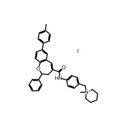 Cc1ccc(-c2ccc3c(c2)C=C(C(=O)Nc2ccc(C[N+]4(C)CCCCC4)cc2)CC(c2ccccc2)O3)cc1.[I-]